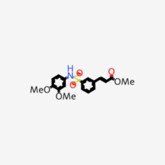 COC(=O)C=Cc1cccc(S(=O)(=O)Nc2ccc(OC)c(OC)c2)c1